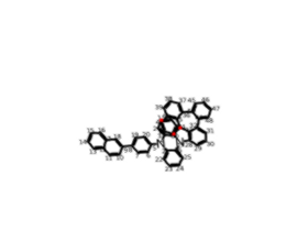 c1ccc(N(c2ccc(-c3ccc4ccccc4c3)cc2)c2ccccc2-n2c3cccc4c3c3c5c(cccc5ccc32)-c2ccccc2-4)cc1